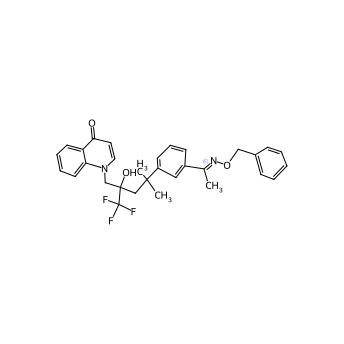 C/C(=N\OCc1ccccc1)c1cccc(C(C)(C)CC(O)(Cn2ccc(=O)c3ccccc32)C(F)(F)F)c1